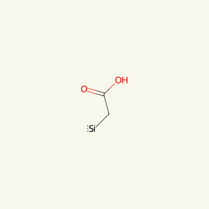 O=C(O)C[Si]